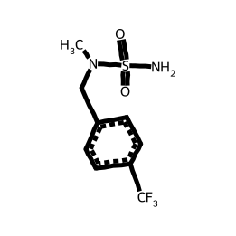 CN(Cc1ccc(C(F)(F)F)cc1)S(N)(=O)=O